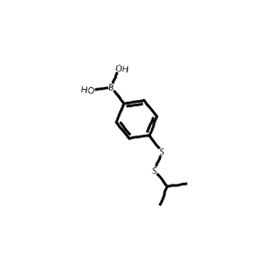 CC(C)SSc1ccc(B(O)O)cc1